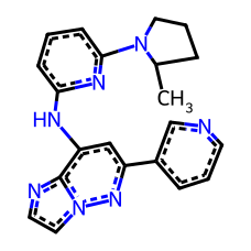 CC1CCCN1c1cccc(Nc2cc(-c3cccnc3)nn3ccnc23)n1